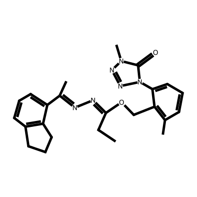 CC/C(=N\N=C(C)c1cccc2c1CCC2)OCc1c(C)cccc1-n1nnn(C)c1=O